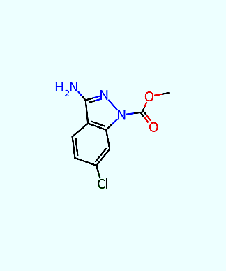 COC(=O)n1nc(N)c2ccc(Cl)cc21